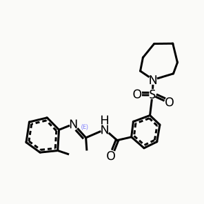 C/C(=N\c1ccccc1C)NC(=O)c1cccc(S(=O)(=O)N2CCCCCC2)c1